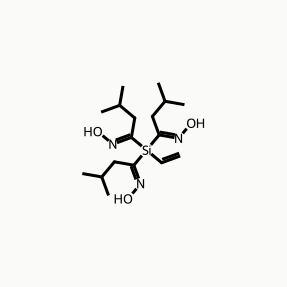 C=C[Si](C(CC(C)C)=NO)(C(CC(C)C)=NO)C(CC(C)C)=NO